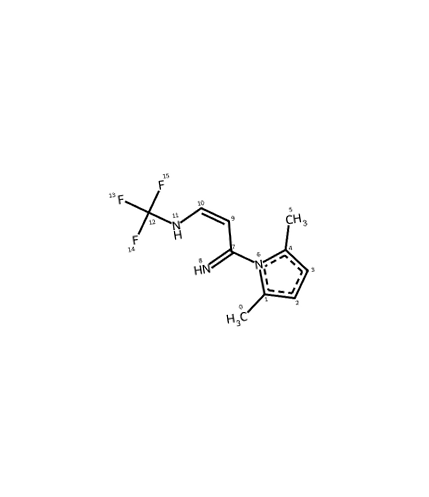 Cc1ccc(C)n1C(=N)/C=C\NC(F)(F)F